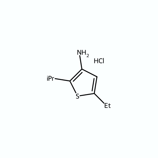 CCc1cc(N)c(C(C)C)s1.Cl